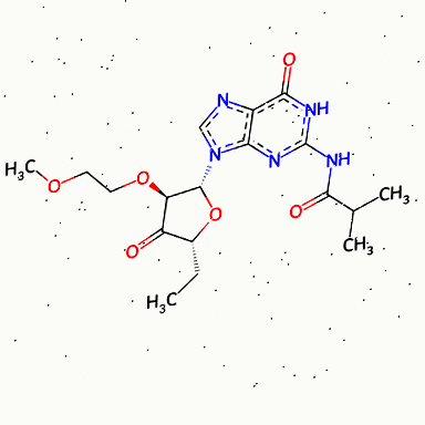 CC[C@H]1O[C@@H](n2cnc3c(=O)[nH]c(NC(=O)C(C)C)nc32)[C@H](OCCOC)C1=O